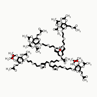 CC(=O)N[C@H]1[C@H](OCCOCCn2cc(CN(CCCC[C@@H](C(=O)O)N(Cc3cn(CCOCCO[C@@H]4O[C@H](COC(C)=O)[C@H](OC(C)=O)[C@H](OC(C)=O)[C@H]4NC(C)=O)nn3)Cc3cn(CCOCCO[C@@H]4OC(COC(C)=O)[C@H](OC(C)=O)[C@H](OC(C)=O)[C@H]4NC(C)=O)nn3)Cc3cn(CCOCCO[C@@H]4O[C@H](COC(C)=O)[C@H](OC(C)=O)[C@H](OC(C)=O)[C@H]4NC(C)=O)nn3)nn2)O[C@H](COC(C)=O)[C@H](OC(C)=O)[C@@H]1OC(C)=O